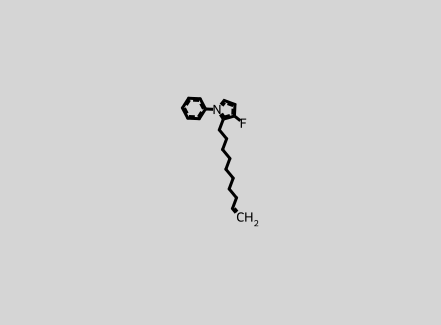 C=CCCCCCCCCc1c(F)ccn1-c1ccccc1